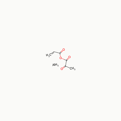 C=CC(=O)OC(=O)C(C)=O.[AlH3]